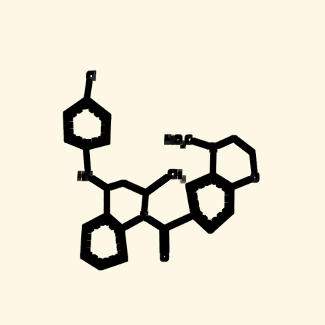 CCOC(=O)N1CCOc2ccc(C(=O)N3c4ccccc4C(Nc4ccc(Cl)cc4)CC3C)cc21